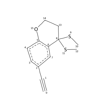 C#Cc1ccc2c(c1)C(SC)(SC)CCO2